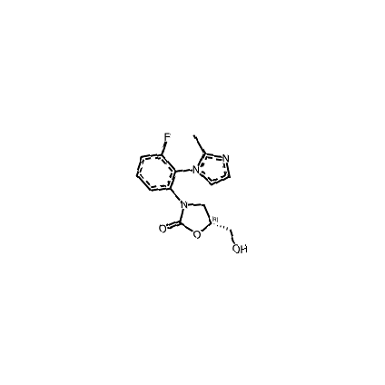 Cc1nccn1-c1c(F)cccc1N1C[C@H](CO)OC1=O